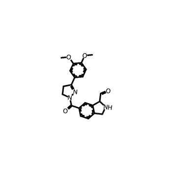 COc1ccc(C2=NN(C(=O)c3ccc4c(c3)C(C=O)NC4)CC2)cc1OC